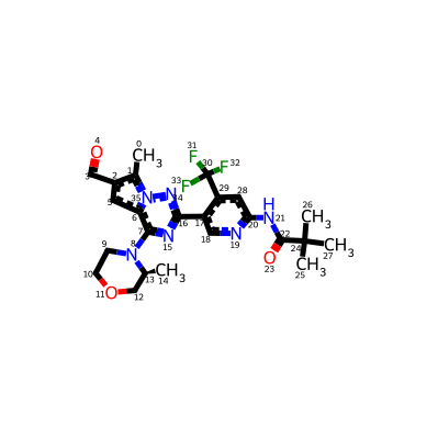 Cc1c(C=O)cc2c(N3CCOC[C@@H]3C)nc(-c3cnc(NC(=O)C(C)(C)C)cc3C(F)(F)F)nn12